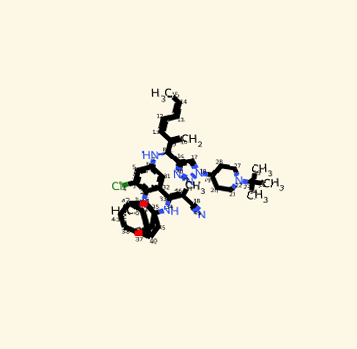 C=Nc1c(Cl)cc(N[C@@H](C(=C)/C=C\C=C/C)c2cn(C3CCN(C(C)(C)C)CC3)nn2)cc1/C(NC12CCC3CC(CC(C3)C1)C2)=C(\C)C#N